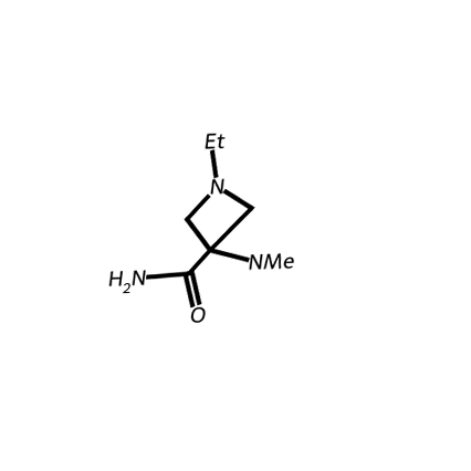 CCN1CC(NC)(C(N)=O)C1